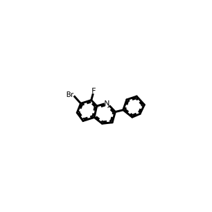 Fc1c(Br)ccc2ccc(-c3ccccc3)nc12